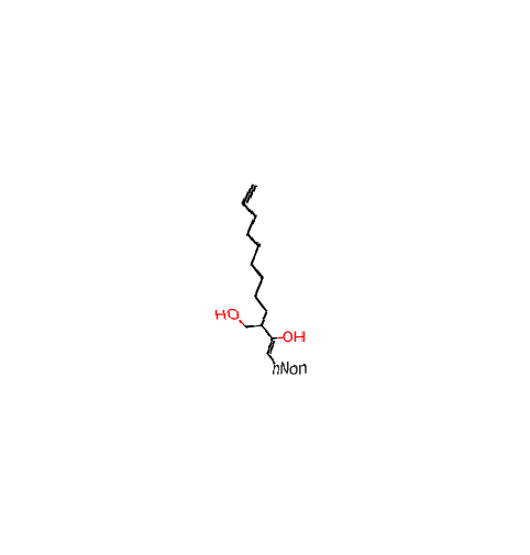 C=CCCCCCCCC(CO)C(O)=CCCCCCCCCC